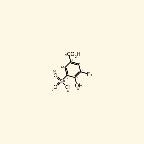 O=C(O)c1cc(F)c(O)c(S(=O)(=O)Cl)c1